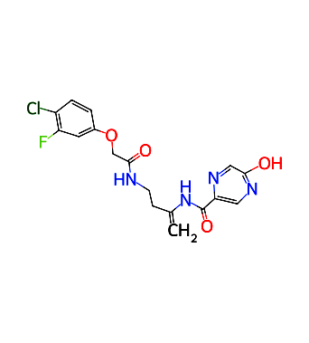 C=C(CCNC(=O)COc1ccc(Cl)c(F)c1)NC(=O)c1cnc(O)cn1